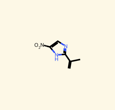 C=C(C)c1ncc([N+](=O)[O-])[nH]1